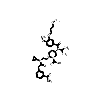 COCCCOc1cc(C(=O)N(C(C)C)[C@@H]2CC[C@H](CCN(C(=O)Cc3cccc(C(N)=O)c3)C3CC3)N(C(=O)O)C2)ccc1OC